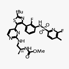 COC(=O)N[C@@H](C)CNc1nccc(-c2sc(C(C)(C)C)nc2-c2cccc(NS(=O)(=O)c3ccc(C)c(F)n3)c2F)n1